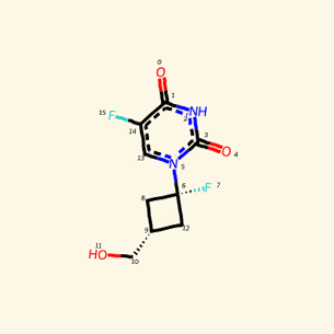 O=c1[nH]c(=O)n([C@]2(F)C[C@@H](CO)C2)cc1F